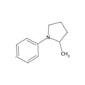 CC1CCCN1c1cc[c]cc1